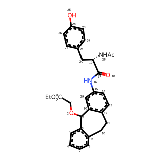 CCOC(=O)COC1c2ccccc2CCc2ccc(NC(=O)[C@H](Cc3ccc(O)cc3)NC(C)=O)cc21